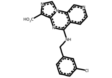 O=C(O)c1ncn2c1nc(NCc1cccc(Cl)c1)c1ccncc12